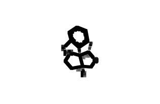 C[C@@H]1OC[C@H]2CCN[C@]21c1ccccc1F